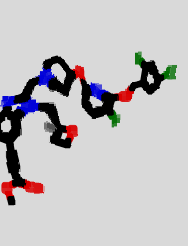 COC(=O)C#Cc1ccc2nc(CN3CCC(Oc4ccc(F)c(OCc5ccc(Cl)cc5F)n4)CC3)n(C[C@@H]3CCO3)c2c1